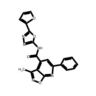 Cc1noc2nc(-c3ccccc3)cc(C(=O)Nc3nnc(-c4ccco4)o3)c12